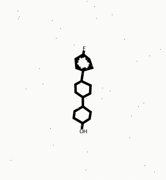 OC1CCC(C2CCC(c3ccc(F)cc3)CC2)CC1